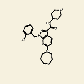 O=C(NC1CCNCC1)c1nn(Cc2ccccc2Cl)c2nc(N3CCCCCC3)ccc12